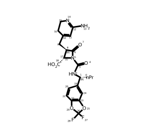 CCC[C@@H](NC(=O)N1C(=O)[C@H](CC2=CC(N)=NCC2)[C@H]1C(=O)O)c1ccc2c(c1)OC(F)(F)O2